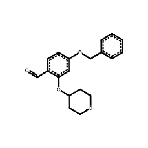 O=Cc1ccc(OCc2ccccc2)cc1OC1CCOCC1